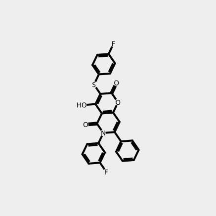 O=c1oc2cc(-c3ccccc3)n(-c3cccc(F)c3)c(=O)c2c(O)c1Sc1ccc(F)cc1